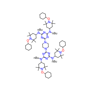 CCCCN(c1nc(N2CCN(c3nc(N(CCCC)C4CC(C)(C)N(OC5CCCCC5)C(C)(C)C4)nc(N(CCCC)C4CC(C)(C)N(OC5CCCCC5)C(C)(C)C4)n3)CC2)nc(N(CCCC)C2CC(C)(C)N(OC3CCCCC3)C(C)(C)C2)n1)C1CC(C)(C)N(OC2CCCCC2)C(C)(C)C1